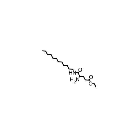 CCCCCCCCCCCCNC(=O)C(N)CCC(=O)OCC